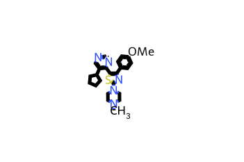 COc1ccc(-c2nc(N3CCN(C)CC3)sc2-c2n[c]ncc2C2CCCC2)cc1